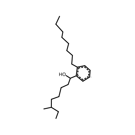 CCCCCCCCc1cc[c]cc1C(O)CCCCC(C)CC